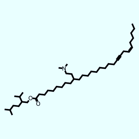 CCCCC/C=C\CC#CCCCCCCCCCC(CCCCCCCCC(=O)OCC(CCC(C)C)C(C)C)CCN(C)C